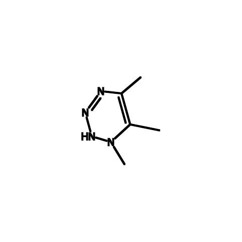 CC1=C(C)N(C)NN=N1